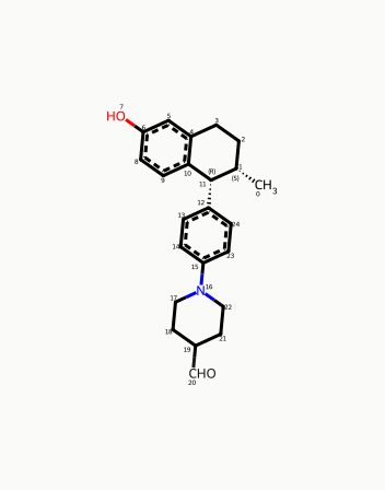 C[C@H]1CCc2cc(O)ccc2[C@H]1c1ccc(N2CCC(C=O)CC2)cc1